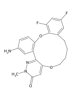 Cn1nc2c(cc1=O)OCCCCc1cc(F)cc(F)c1Oc1ccc(N)cc1-2